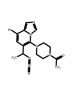 CC(=O)N1CCN(c2c(C(C)N=[N+]=[N-])cc(Br)c3cncn23)CC1